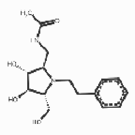 CC(=O)NC[C@@H]1[C@@H](O)[C@H](O)[C@@H](CO)N1CCc1ccccc1